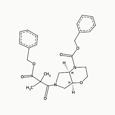 CC(C)(C(=O)OCc1ccccc1)C(=O)N1C[C@@H]2OCCN(C(=O)OCc3ccccc3)[C@@H]2C1